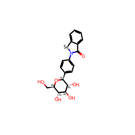 O=c1c2ccccc2[se]n1-c1ccc([C@@H]2O[C@H](CO)[C@@H](O)[C@H](O)[C@H]2O)cc1